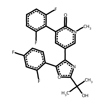 Cn1cc(-c2nc(C(C)(C)O)oc2-c2ccc(F)cc2F)cc(-c2c(F)cccc2F)c1=O